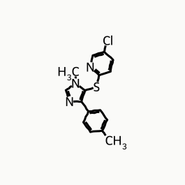 Cc1ccc(-c2ncn(C)c2Sc2ccc(Cl)cn2)cc1